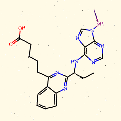 CC[C@H](Nc1ncnc2c1ncn2PI)c1nc(CCCCC(=O)O)c2ccccc2n1